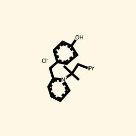 CC(C)CC(C)(C)[n+]1ccccc1Cc1ccc(O)cc1.[Cl-]